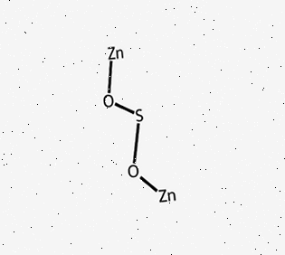 [Zn][O]S[O][Zn]